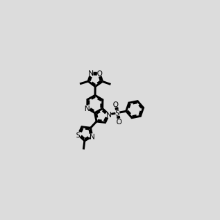 Cc1nc(-c2cn(S(=O)(=O)c3ccccc3)c3cc(-c4c(C)noc4C)cnc23)cs1